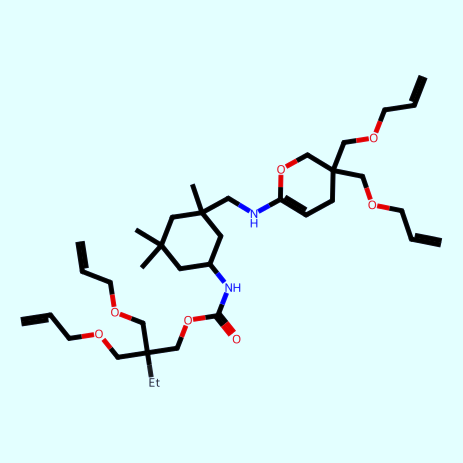 C=CCOCC(CC)(COCC=C)COC(=O)NC1CC(C)(C)CC(C)(CNC2=CCC(COCC=C)(COCC=C)CO2)C1